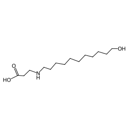 O=C(O)CCNCCCCCCCCCCCO